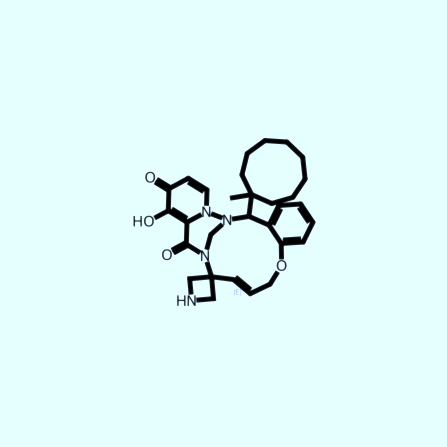 CC1(C2c3ccccc3OC/C=C/C3(CNC3)N3CN2n2ccc(=O)c(O)c2C3=O)CCCCCCCC1